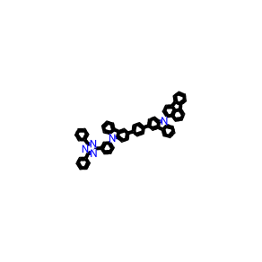 c1ccc(-c2nc(-c3ccccc3)nc(-c3cccc(-n4c5ccccc5c5cc(-c6ccc(-c7ccc8c(c7)c7ccccc7n8-c7ccc8c9c(cccc79)-c7ccccc7-8)cc6)ccc54)c3)n2)cc1